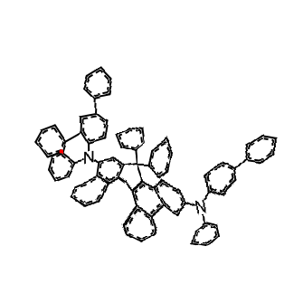 c1ccc(-c2ccc(N(c3ccccc3)c3ccc4c5c(c6ccccc6c4c3)-c3c(cc(N(c4ccccc4)c4ccc(-c6ccccc6)cc4-c4ccccc4)c4ccccc34)C5(c3ccccc3)c3ccccc3)cc2)cc1